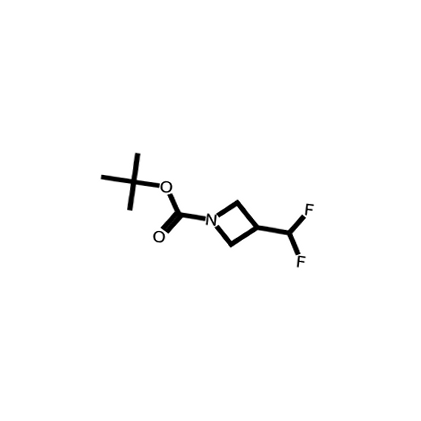 CC(C)(C)OC(=O)N1CC(C(F)F)C1